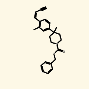 C#C/C=C\c1ccc(C2(C)CCN(C(=O)OCc3ccccc3)CC2)cc1C